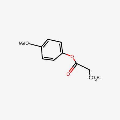 CCOC(=O)CC(=O)Oc1ccc(OC)cc1